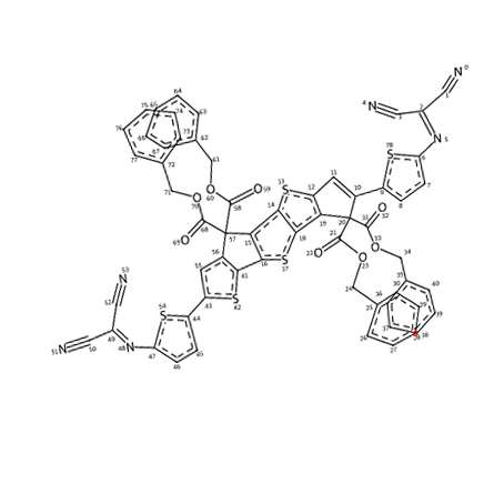 N#CC(C#N)=Nc1ccc(C2=Cc3sc4c5c(sc4c3C2(C(=O)OCc2ccccc2)C(=O)OCc2ccccc2)-c2sc(-c3ccc(N=C(C#N)C#N)s3)cc2C5(C(=O)OCc2ccccc2)C(=O)OCc2ccccc2)s1